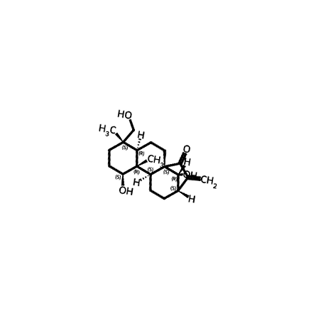 C=C1C(=O)[C@@]23CC[C@@H]4[C@@](C)(CO)CC[C@H](O)[C@@]4(C)[C@@H]2CC[C@@H]1[C@H]3O